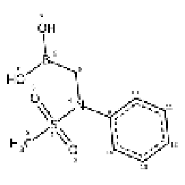 CS(=O)(=O)N(CB(O)O)c1ccccc1